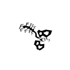 C[Si](CCC(F)(F)C(F)(F)C(F)(F)C(F)(F)F)(C1C=Cc2ccccc21)C1C=Cc2ccccc21